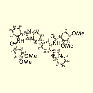 COc1ccc(C(=O)Nc2cc(-c3ccc4nc(-c5ccccc5NC(=O)c5ccc(OC)c(OC)c5)cn4c3)ccc2-c2cn3ccccc3n2)c(OC)c1